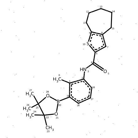 Cc1c(NC(=O)c2cc3c(s2)CCCCC3)cccc1B1OC(C)(C)C(C)(C)O1